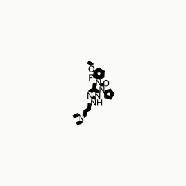 CCOc1cccc(N2Cc3cnc(NCCCCN(CC)CC)nc3N(C3CCCC3)C2=O)c1F